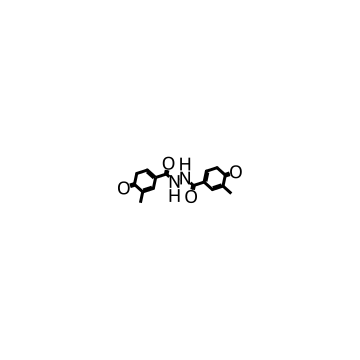 CC1=CC(C(=O)NNC(=O)C2=CCC(=O)C(C)=C2)=CCC1=O